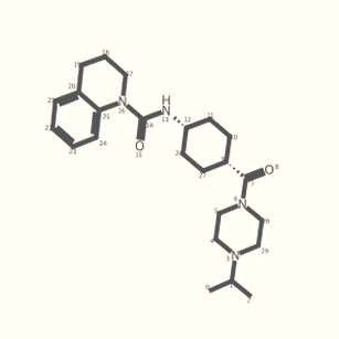 CC(C)N1CCN(C(=O)[C@H]2CC[C@@H](NC(=O)N3CCCc4ccccc43)CC2)CC1